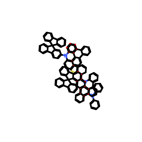 C1=Cc2c(sc3ccc(N(c4ccc5c(c4)C4(c6ccccc6-c6ccccc64)c4ccccc4-5)c4ccccc4-c4ccccc4-c4ccccc4-c4ccccc4)cc23)C(c2ccc(-c3ccccc3)c(-c3ccccc3-c3ccccc3N(c3ccc4c(c3)C3(c5ccccc5-c5ccccc53)c3ccccc3-4)c3cccc4c3c3ccccc3n4-c3ccccc3)c2)C1